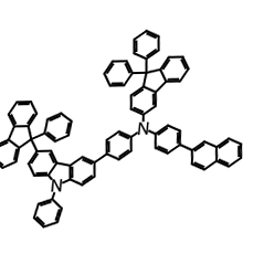 c1ccc(-n2c3ccc(-c4ccc(N(c5ccc(-c6ccc7ccccc7c6)cc5)c5ccc6c(c5)-c5ccccc5C6(c5ccccc5)c5ccccc5)cc4)cc3c3cc(C4(c5ccccc5)c5ccccc5-c5ccccc54)ccc32)cc1